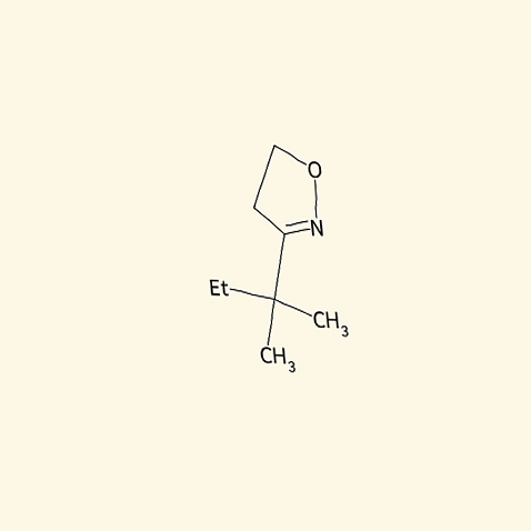 CCC(C)(C)C1=NOCC1